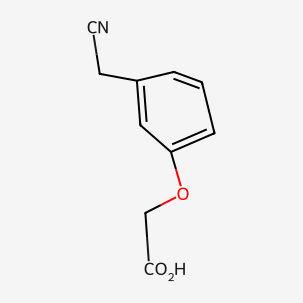 N#CCc1cccc(OCC(=O)O)c1